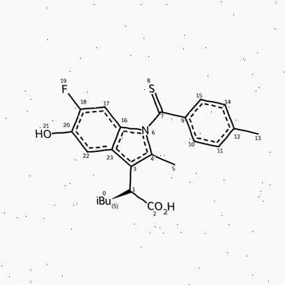 CC[C@H](C)C(C(=O)O)c1c(C)n(C(=S)c2ccc(C)cc2)c2cc(F)c(O)cc12